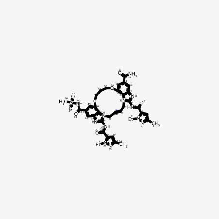 CCn1nc(C)cc1C(=O)Nc1nc2cc(C(N)=O)cc3c2n1C/C=C/Cn1c(NC(=O)c2cc(C)nn2CC)nc2cc(C(=O)NS(C)(=O)=O)cc(c21)OCCCO3